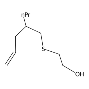 C=CCC(CCC)CSCCO